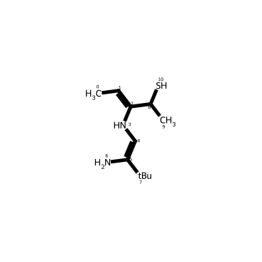 C/C=C(\N/C=C(\N)C(C)(C)C)C(C)S